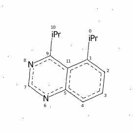 CC(C)c1cccc2ncnc(C(C)C)c12